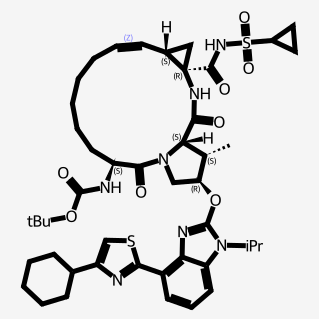 CC(C)n1c(O[C@H]2CN3C(=O)[C@@H](NC(=O)OC(C)(C)C)CCCCC/C=C\[C@@H]4C[C@@]4(C(=O)NS(=O)(=O)C4CC4)NC(=O)[C@@H]3[C@@H]2C)nc2c(-c3nc(C4CCCCC4)cs3)cccc21